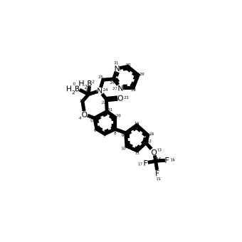 BC1(B)COc2ccc(-c3ccc(OC(F)(F)F)cc3)cc2C(=O)N1Cc1ncccn1